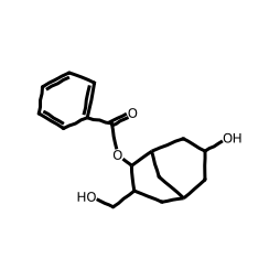 O=C(OC1C(CO)CC2CC(O)CC1C2)c1ccccc1